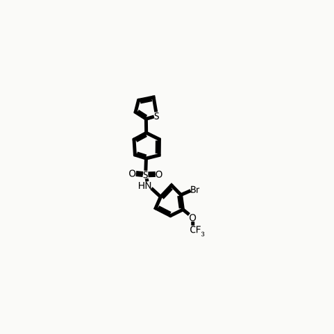 O=S(=O)(Nc1ccc(OC(F)(F)F)c(Br)c1)c1ccc(-c2cccs2)cc1